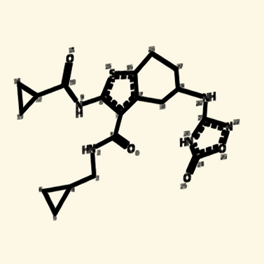 O=C(NCC1CC1)c1c(NC(=O)C2CC2)sc2c1CC(Nc1noc(=O)[nH]1)CC2